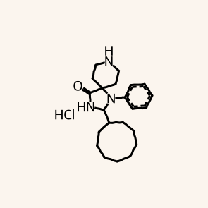 Cl.O=C1NC(C2CCCCCCCC2)N(c2ccccc2)C12CCNCC2